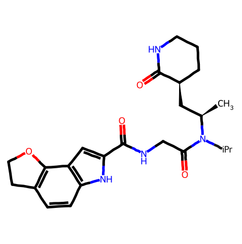 CC(C)N(C(=O)CNC(=O)c1cc2c3c(ccc2[nH]1)CCO3)[C@H](C)C[C@@H]1CCCNC1=O